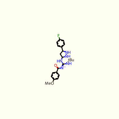 COc1ccc(C(=O)/N=C(\NC2CC(c3ccc(F)cc3)NN2)NC(C)(C)C)cc1